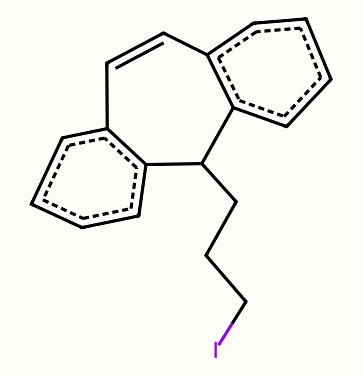 ICCCC1c2ccccc2C=Cc2ccccc21